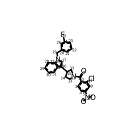 O=C(c1ccc([N+](=O)[O-])cc1Cl)N1CCC(c2cn(Cc3cccc(F)c3)c3ccccc23)C1